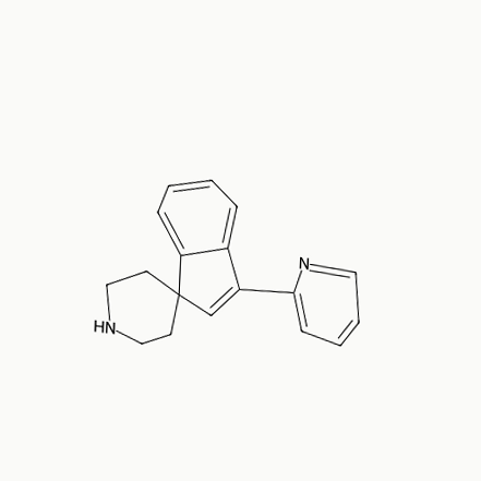 C1=C(c2ccccn2)c2ccccc2C12CCNCC2